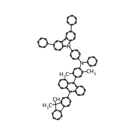 Cc1cc(N(c2ccccc2)c2ccc(-n3c4ccc(-c5ccccc5)cc4c4cc(-c5ccccc5)ccc43)cc2)c(C)cc1-c1c2ccccc2c(-c2ccc3c(c2)C(C)(C)c2ccccc2-3)c2ccccc12